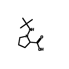 CC(C)(C)NN1CCCC1C(=O)O